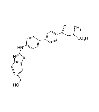 CC(CC(=O)c1ccc(-c2ccc(Nc3nc4ccc(CO)cc4s3)cc2)cc1)C(=O)O